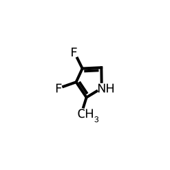 Cc1[nH]cc(F)c1F